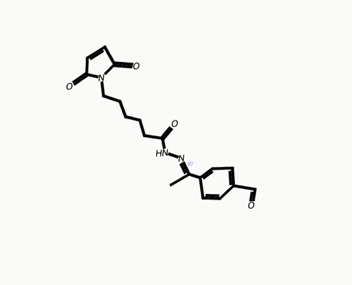 C/C(=N\NC(=O)CCCCCN1C(=O)C=CC1=O)c1ccc(C=O)cc1